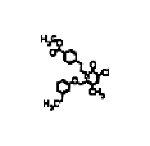 CCc1cccc(OCc2c(C)cc(Cl)c(=O)n2CCc2ccc(C(=O)OC)cc2)c1